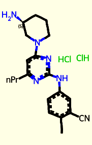 CCCc1cc(N2CCC[C@H](N)C2)nc(Nc2ccc(C)c(C#N)c2)n1.Cl.Cl